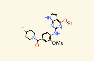 CCOc1nc(Nc2ccc(C(=O)N3CCC(F)CC3)cc2OC)nc2[nH]ccc12